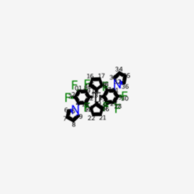 Fc1c(F)c(-n2cccc2)c(F)[c]([Ti]([C]2=CC=CC2)([C]2=CC=CC2)[c]2c(F)c(F)c(F)c(-n3cccc3)c2F)c1F